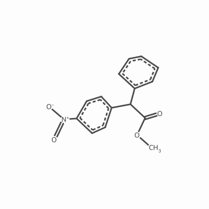 COC(=O)C(c1ccccc1)c1ccc([N+](=O)[O-])cc1